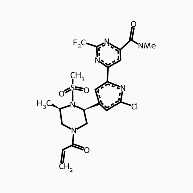 C=CC(=O)N1C[C@@H](C)N(S(C)(=O)=O)[C@@H](c2cc(Cl)nc(-c3cc(C(=O)NC)nc(C(F)(F)F)n3)c2)C1